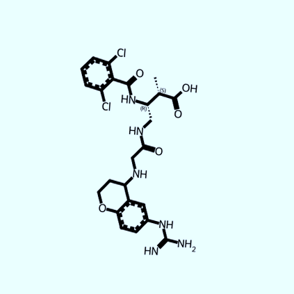 C[C@H](C(=O)O)[C@H](CNC(=O)CNC1CCOc2ccc(NC(=N)N)cc21)NC(=O)c1c(Cl)cccc1Cl